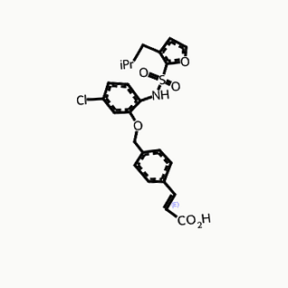 CC(C)Cc1ccoc1S(=O)(=O)Nc1ccc(Cl)cc1OCc1ccc(/C=C/C(=O)O)cc1